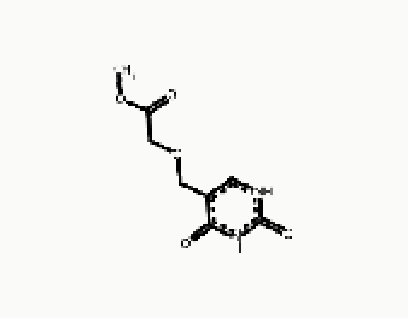 COC(=O)COCc1c[nH]c(=O)[nH]c1=O